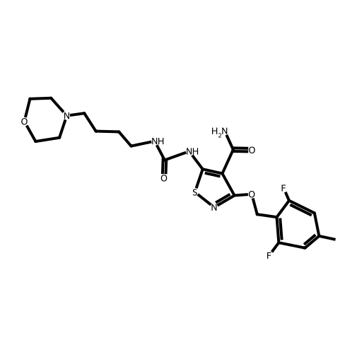 Cc1cc(F)c(COc2nsc(NC(=O)NCCCCN3CCOCC3)c2C(N)=O)c(F)c1